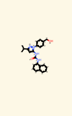 CC(C)c1cc(NC(=O)Nc2cccc3ccccc23)n(-c2ccc(CO)cc2)n1